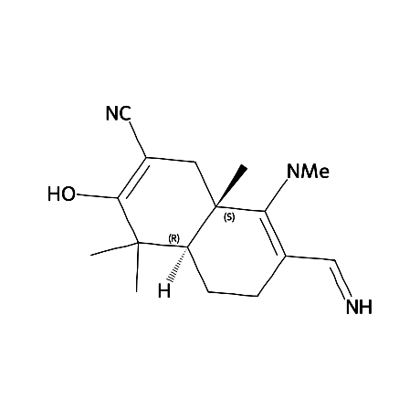 CNC1=C(C=N)CC[C@H]2C(C)(C)C(O)=C(C#N)C[C@]12C